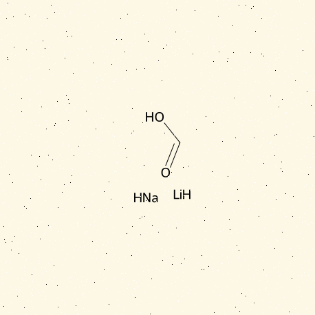 O=CO.[LiH].[NaH]